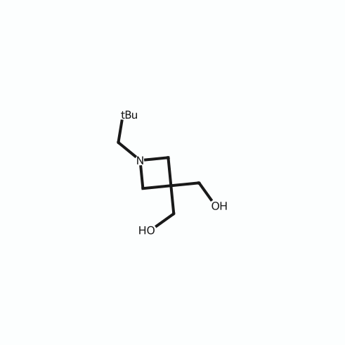 CC(C)(C)CN1CC(CO)(CO)C1